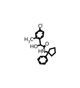 Cc1cc(Cl)ccc1C(O)C(=O)NC1(c2ccccc2)CCCC1